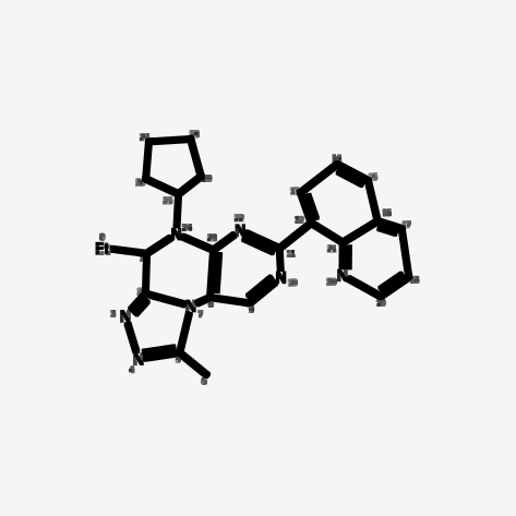 CCC1c2nnc(C)n2-c2cnc(-c3cccc4cccnc34)nc2N1C1CCCC1